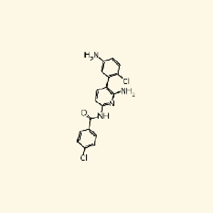 Nc1ccc(Cl)c(-c2ccc(NC(=O)c3ccc(Cl)cc3)nc2N)c1